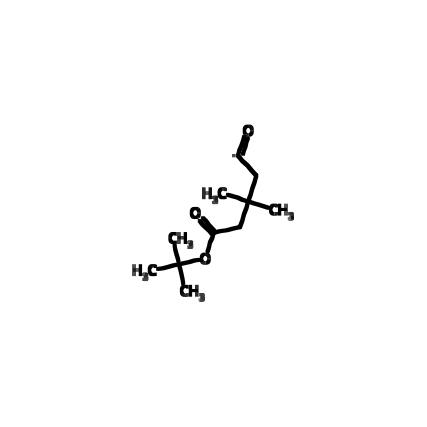 CC(C)(C[C]=O)CC(=O)OC(C)(C)C